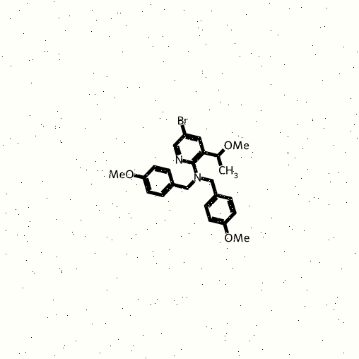 COc1ccc(CN(Cc2ccc(OC)cc2)c2ncc(Br)cc2C(C)OC)cc1